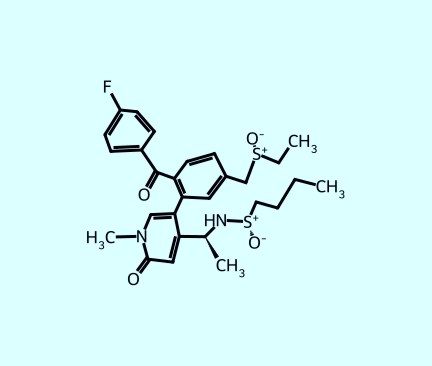 CCCC[S@+]([O-])N[C@@H](C)c1cc(=O)n(C)cc1-c1cc(C[S+]([O-])CC)ccc1C(=O)c1ccc(F)cc1